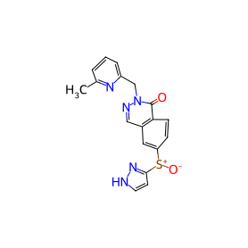 Cc1cccc(Cn2ncc3cc([S+]([O-])c4cc[nH]n4)ccc3c2=O)n1